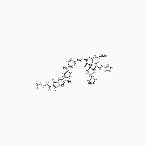 CCN(CC)CCNC(=O)c1c(C)[nH]c(/C=C2\C(=O)Nc3ccc(NC(=O)/C=C\C(=O)OCCN(Cc4cccc(OC)c4)C(=O)Nc4ccc(-c5cn[nH]c5)cc4OCCN4CCCC4)cc32)c1C